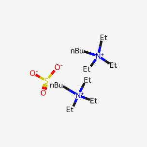 CCCC[N+](CC)(CC)CC.CCCC[N+](CC)(CC)CC.O=S([O-])[O-]